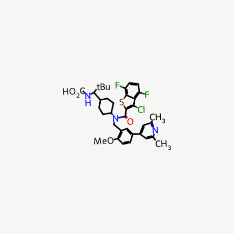 COc1ccc(-c2cc(C)nc(C)c2)cc1CN(C(=O)c1sc2c(F)ccc(F)c2c1Cl)C1CCC(C(NC(=O)O)C(C)(C)C)CC1